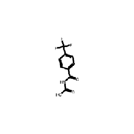 O=C(O)NC(=O)c1ccc(C(F)(F)F)cc1